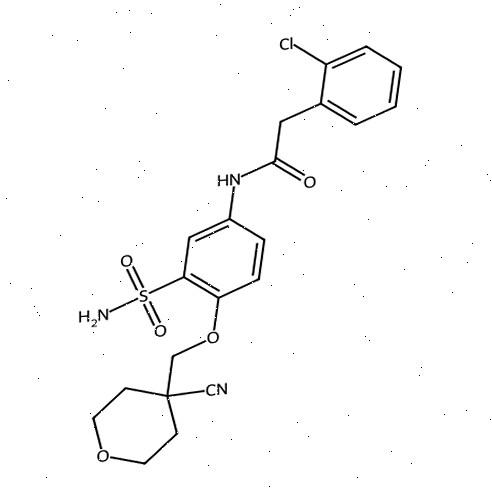 N#CC1(COc2ccc(NC(=O)Cc3ccccc3Cl)cc2S(N)(=O)=O)CCOCC1